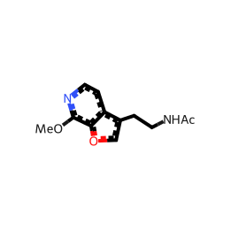 COc1nccc2c(CCNC(C)=O)coc12